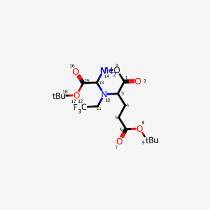 COC(=O)C(CCC(=O)OC(C)(C)C)N(CC(F)(F)F)C(N)C(=O)OC(C)(C)C